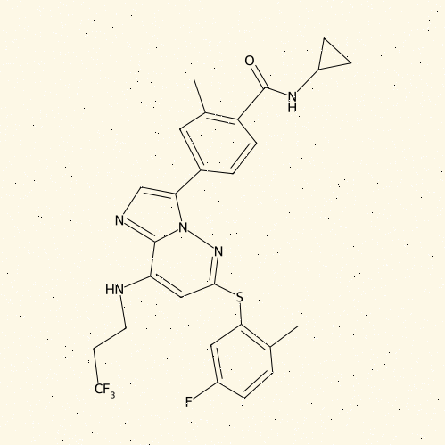 Cc1ccc(F)cc1Sc1cc(NCCC(F)(F)F)c2ncc(-c3ccc(C(=O)NC4CC4)c(C)c3)n2n1